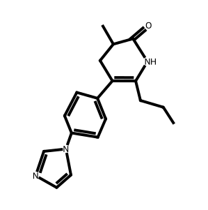 CCCC1=C(c2ccc(-n3ccnc3)cc2)CC(C)C(=O)N1